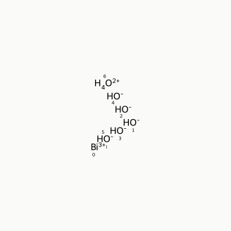 [Bi+3].[OH-].[OH-].[OH-].[OH-].[OH-].[OH4+2]